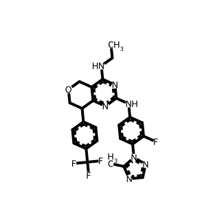 CCNc1nc(Nc2ccc(-n3ncnc3C)c(F)c2)nc2c1COCC2c1ccc(C(F)(F)F)cc1